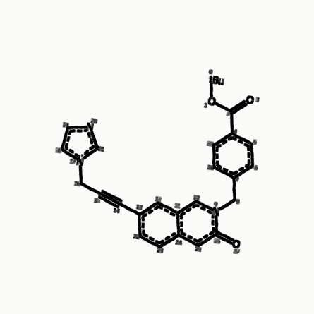 CC(C)(C)OC(=O)c1ccc(Cn2cc3cc(C#CCn4ccnc4)ccc3cc2=O)cc1